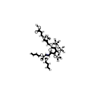 CCCCOP(=O)(/C=C/C1O[C@H](OCc2cn(CCC(=O)OC)nn2)[C@H](O[Si](C)(C)C)C(O[Si](C)(C)C)[C@@H]1O[Si](C)(C)C)OCCCC